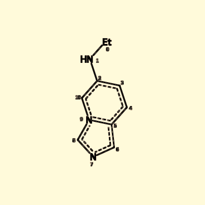 CCNc1ccc2cncn2c1